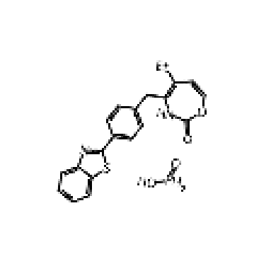 CCC1=C(Cc2ccc(-c3nc4ccccc4s3)cc2)NC(=O)OC=C1.O=[PH2]O